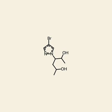 CC(O)CC(C(C)O)n1cc(Br)cn1